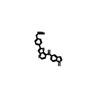 CNCc1ccc(-c2cc3nccc(Nc4ccc5[nH]ccc5c4)c3s2)cc1